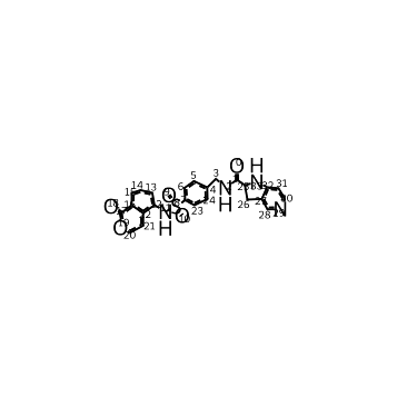 O=C(NCc1ccc(S(=O)(=O)Nc2cccc3c(=O)occc23)cc1)C1Cc2cnccc2N1